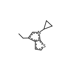 CCc1cn(C2CC2)c2sccc12